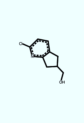 OCC1Cc2ccc(Cl)nc2C1